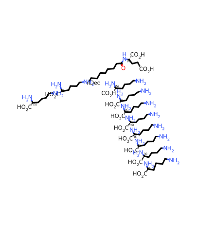 CCCCCCCCCCCCCCCCCC(=O)N[C@@H](CCC(=O)O)C(=O)O.NCCCC[C@H](N)C(=O)O.NCCCC[C@H](N)C(=O)O.NCCCC[C@H](N)C(=O)O.NCCCC[C@H](N)C(=O)O.NCCCC[C@H](N)C(=O)O.NCCCC[C@H](N)C(=O)O.NCCCC[C@H](N)C(=O)O.NCCCC[C@H](N)C(=O)O.NCCCC[C@H](N)C(=O)O.NCCCC[C@H](N)C(=O)O